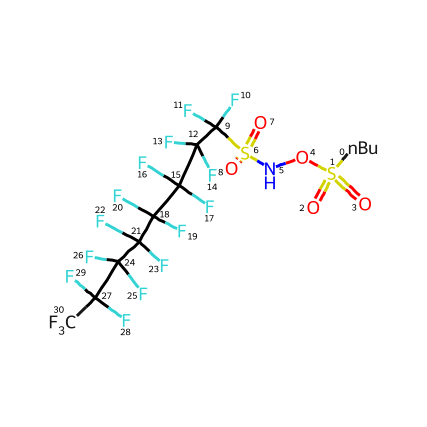 CCCCS(=O)(=O)ONS(=O)(=O)C(F)(F)C(F)(F)C(F)(F)C(F)(F)C(F)(F)C(F)(F)C(F)(F)C(F)(F)F